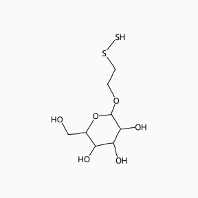 OCC1OC(OCCSS)C(O)C(O)C1O